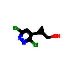 OCC1CC1c1cc(Cl)nnc1Cl